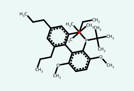 CCCc1cc(CCC)c(-c2c(OC)ccc(OC)c2P(C(C)(C)C)C(C)(C)C)c(CCC)c1